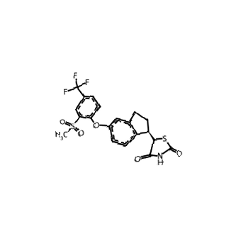 CS(=O)(=O)c1cc(C(F)(F)F)ccc1Oc1ccc2c(c1)CC[C@H]2C1SC(=O)NC1=O